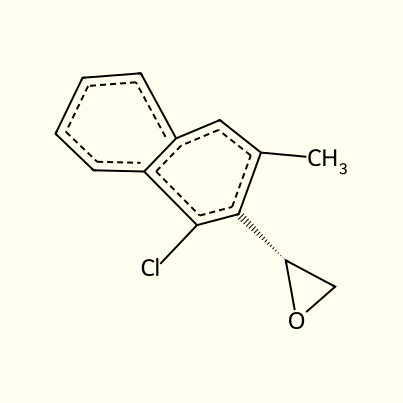 Cc1cc2ccccc2c(Cl)c1[C@@H]1CO1